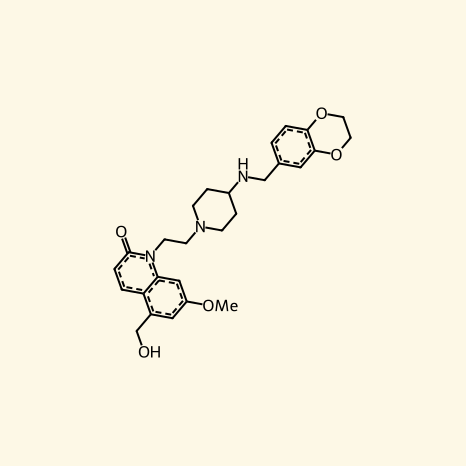 COc1cc(CO)c2ccc(=O)n(CCN3CCC(NCc4ccc5c(c4)OCCO5)CC3)c2c1